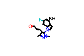 Cc1nn(C)c(-n2ccc3ccc(F)cc32)c1/C=C/C=O.[KH]